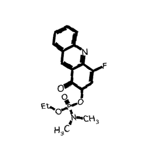 CCOP(=O)(OC1C=C(F)c2nc3ccccc3cc2C1=O)N(C)C